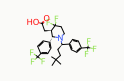 CC(C)(C)CC[C@H](c1ccc(C(F)(F)F)cc1)N1CCC(F)(F)[C@H](CC(=O)O)[C@H]1c1ccc(C(F)(F)F)cc1